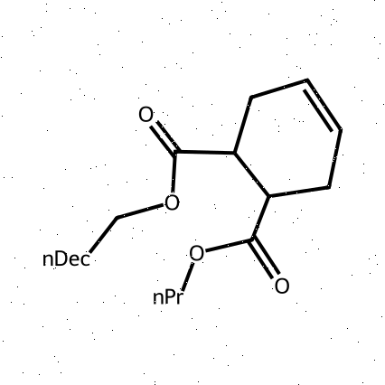 CCCCCCCCCCCOC(=O)C1CC=CCC1C(=O)OCCC